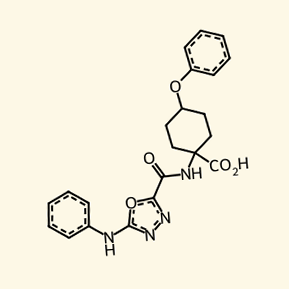 O=C(NC1(C(=O)O)CCC(Oc2ccccc2)CC1)c1nnc(Nc2ccccc2)o1